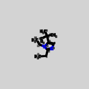 CCc1ncc(C(C)(C)C)n1CC